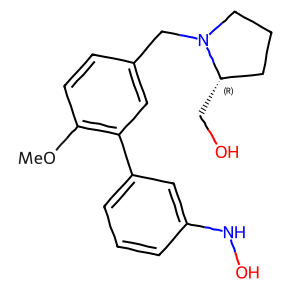 COc1ccc(CN2CCC[C@@H]2CO)cc1-c1cccc(NO)c1